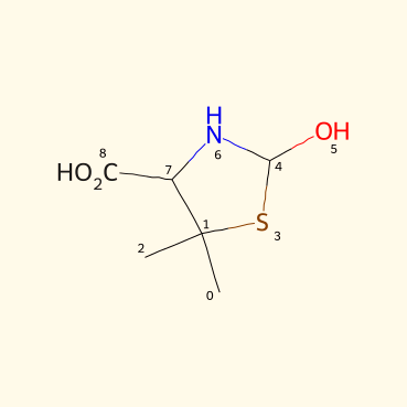 CC1(C)SC(O)NC1C(=O)O